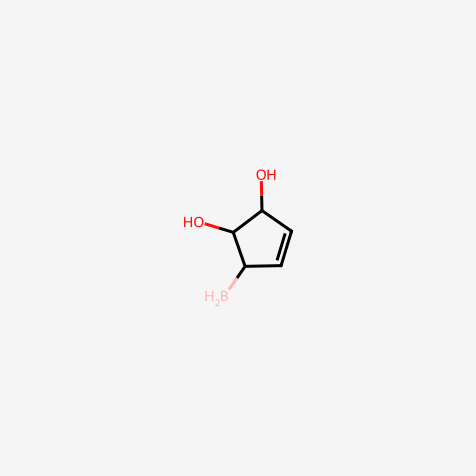 BC1C=CC(O)C1O